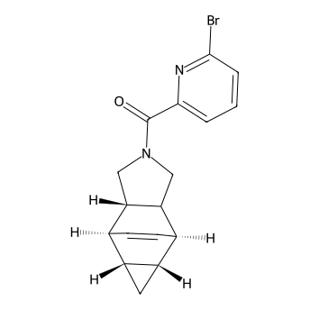 O=C(c1cccc(Br)n1)N1CC2[C@@H](C1)[C@H]1C=C[C@@H]2[C@@H]2C[C@H]12